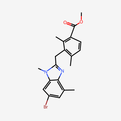 COC(=O)c1ccc(C)c(Cc2nc3c(C)cc(Br)cc3n2C)c1C